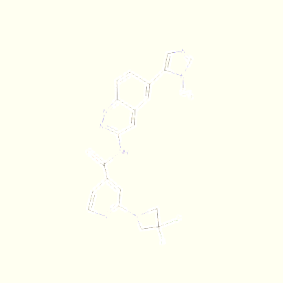 Cn1cncc1-c1ccc2nnc(NC(=O)c3ccnc(N4CC(F)(F)C4)c3)cc2c1